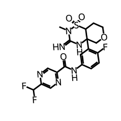 CN1C(=N)NC2(c3cc(NC(=O)c4cnc(C(F)F)cn4)ccc3F)COCCC2S1(=O)=O